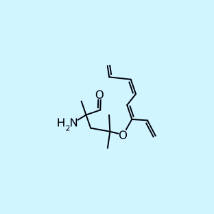 C=C/C=C\C=C(/C=C)OC(C)(C)CC(C)(N)C=O